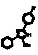 CCCCc1[nH]c(-c2ccc(Br)cc2)nc1-c1ccccc1